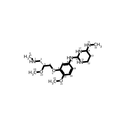 CNC[C@H](COc1cc(NC2NCCC(NC)N2)ccc1OC)OC